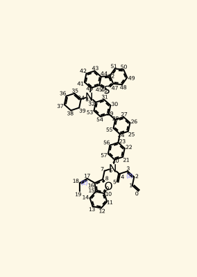 C=C/C=C\C(=C)N(Cc1oc2ccccc2c1/C=C\C)c1ccc(-c2cccc(-c3ccc(N(C4=CC=CCC4)c4cccc5c4sc4ccccc45)cc3)c2)cc1